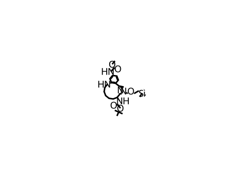 COC(=O)Nc1ccc2c(c1)NCCCCC[C@H](NC(=O)OC(C)(C)C)c1nc-2cn1COCC[Si](C)(C)C